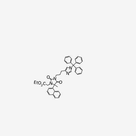 CCOC(=O)CN1C(=O)N(CCCc2cn(C(c3ccccc3)(c3ccccc3)c3ccccc3)cn2)C(=O)C1(C)c1cccc2ccccc12